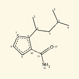 CC(C)CC(C)c1sccc1C(N)=O